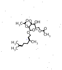 CC(=O)OC[C@H]1OC(OC/C=C(\C)CCC=C(C)C)[C@H](OC(C)=O)C(=O)[C@@H]1O